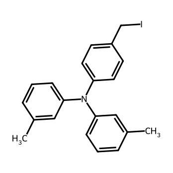 Cc1cccc(N(c2ccc(CI)cc2)c2cccc(C)c2)c1